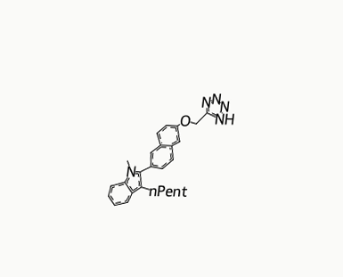 CCCCCc1c(-c2ccc3cc(OCc4nnn[nH]4)ccc3c2)n(C)c2ccccc12